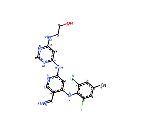 N#Cc1cc(F)c(Nc2cc(Nc3cc(NCCO)ncn3)ncc2C=N)c(Cl)c1